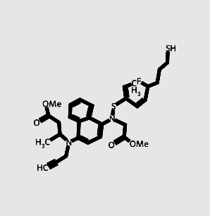 C#CCN(c1ccc(N(CC(=O)OC)SC(/C=C\C(F)CCCS)=C/C)c2ccccc12)C(C)CC(=O)OC